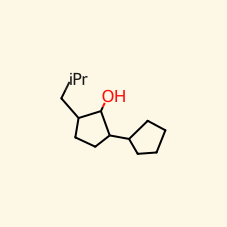 CC(C)CC1CCC(C2CCCC2)C1O